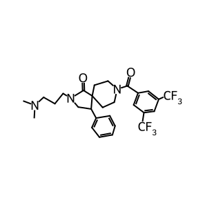 CN(C)CCCN1CC(c2ccccc2)C2(CCN(C(=O)c3cc(C(F)(F)F)cc(C(F)(F)F)c3)CC2)C1=O